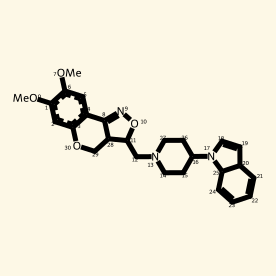 COc1cc2c(cc1OC)C1=NOC(CN3CCC(N4C=CC5C=CC=CC54)CC3)C1CO2